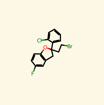 Fc1ccc2c(c1)CC(CCBr)(c1ccccc1Cl)O2